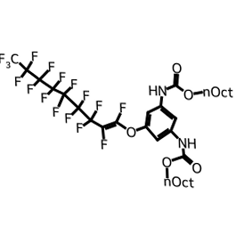 CCCCCCCCOC(=O)Nc1cc(NC(=O)OCCCCCCCC)cc(OC(F)=C(F)C(F)(F)C(F)(F)C(F)(F)C(F)(F)C(F)(F)C(F)(F)C(F)(F)F)c1